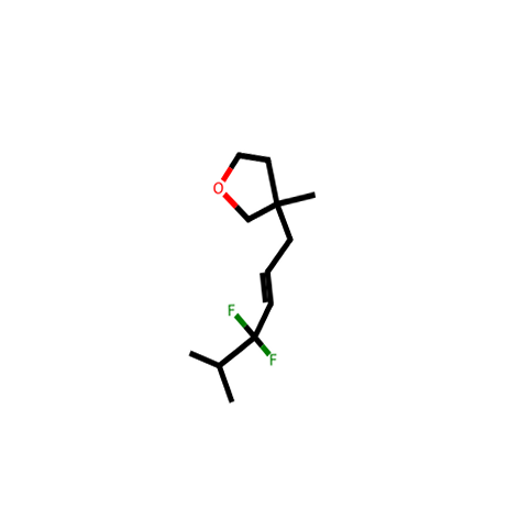 CC(C)C(F)(F)/C=C/CC1(C)CCOC1